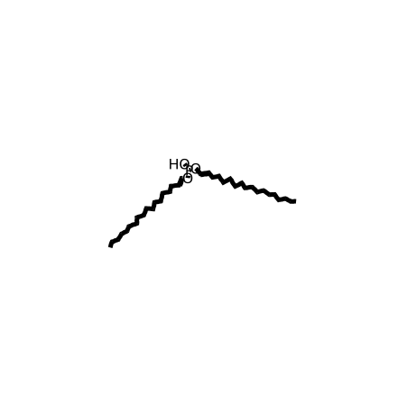 CCCCCCCCCCCCCCCCC=COP(O)OC=CCCCCCCCCCCCCCCCC